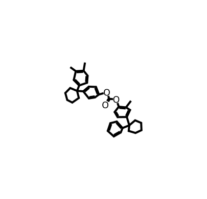 Cc1ccc(C2(c3ccc(OC(=O)Oc4ccc(C5(c6ccccc6)CCCCC5)cc4C)cc3)CCCCC2)cc1C